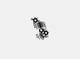 BC1(B)C(=O)Nc2cccc3c2N1[C@H]1CCN(C(B)(B)C(B)(B)C(B)(B)Oc2ccc(F)cc2)C[C@@H]31